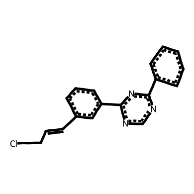 ClC/C=C/c1cccc(-c2ncnc(-c3ccccc3)n2)c1